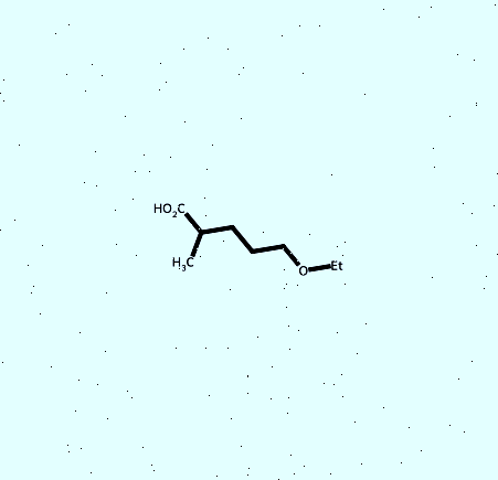 CCOCCCC(C)C(=O)O